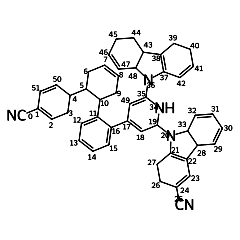 N#CC1=CCC(C2CC=CCC2c2ccccc2C2=CC(N3C4=C(C=C(C#N)CC4)C4C=CC=CC43)NC(N3C4=C(CCC=C4)C4CCC=CC43)=C2)C=C1